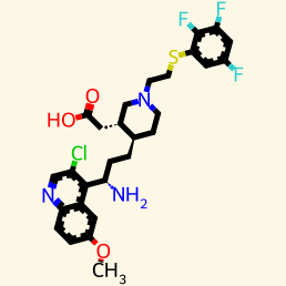 COc1ccc2ncc(Cl)c([C@@H](N)CC[C@@H]3CCN(CCSc4cc(F)cc(F)c4F)C[C@H]3CC(=O)O)c2c1